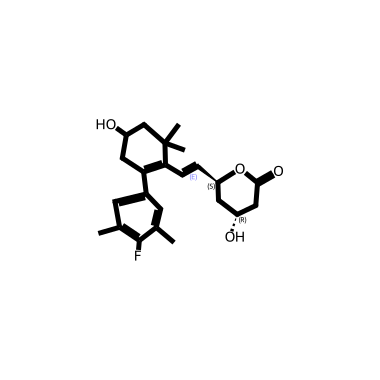 Cc1cc(C2=C(/C=C/[C@@H]3C[C@@H](O)CC(=O)O3)C(C)(C)CC(O)C2)cc(C)c1F